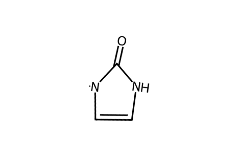 O=C1[N]C=CN1